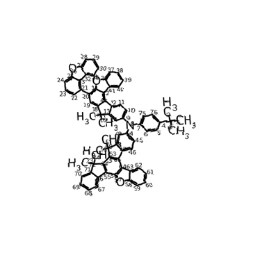 CC(C)(C)c1ccc(N(c2ccc3c(c2)C(C)(C)c2cc(-c4cccc5oc6ccccc6c45)c4oc5ccccc5c4c2-3)c2ccc3c(c2)C(C)(C)c2c4c(c5oc6ccccc6c5c2-3)-c2ccccc2C4(C)C)cc1